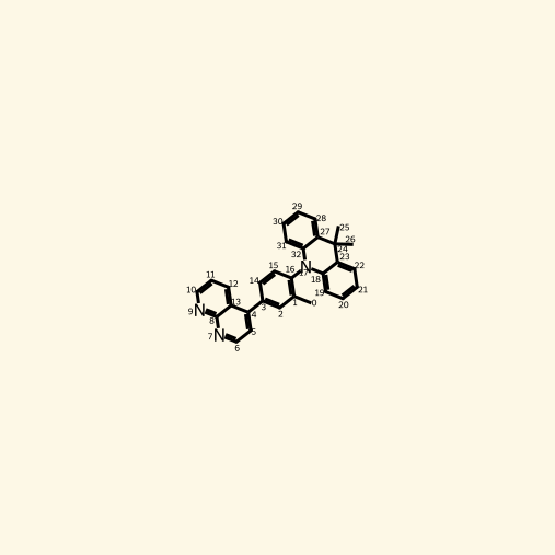 Cc1cc(-c2ccnc3ncccc23)ccc1N1c2ccccc2C(C)(C)c2ccccc21